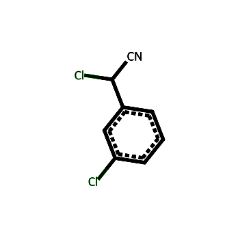 N#CC(Cl)c1cccc(Cl)c1